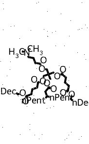 CCCCCCCCCCCOC(=O)CCCC(=O)OCC(COC(=O)CCCC(=O)OCCCCCCCCCCC)(COC(=O)CCCN(C)C)COC(=O)CC(CCCCC)CCCCC